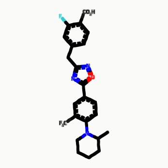 CC1CCCCN1c1ccc(-c2nc(Cc3ccc(C(=O)O)c(F)c3)no2)cc1C(F)(F)F